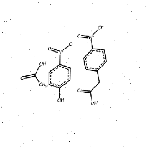 CC(=O)O.O=C(O)Cc1ccc([N+](=O)[O-])cc1.O=[N+]([O-])c1ccc(O)cc1